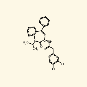 CC(C)N1C(=O)[C@H](NC(=O)Cc2ccc(Cl)c(Cl)c2)N=C(c2ccccc2)c2ccccc21